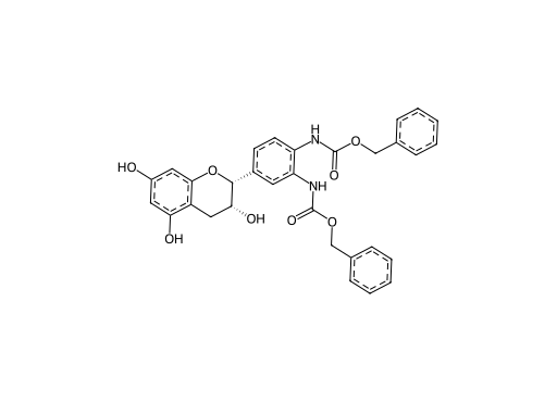 O=C(Nc1ccc([C@H]2Oc3cc(O)cc(O)c3C[C@H]2O)cc1NC(=O)OCc1ccccc1)OCc1ccccc1